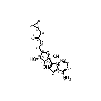 N#C[C@@]1(c2ccc3c(N)ncnn23)OC(COC(=O)CC2CC2)[C@@H](O)[C@H]1O